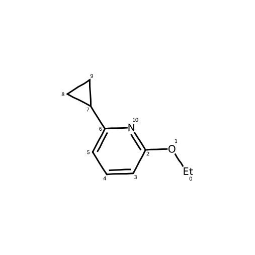 CCOc1cccc(C2CC2)n1